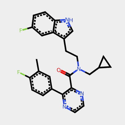 Cc1cc(-c2nccnc2C(=O)N(CCc2c[nH]c3ccc(F)cc23)CC2CC2)ccc1F